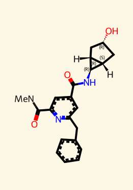 CNC(=O)c1cc(C(=O)N[C@H]2[C@@H]3C[C@H](O)C[C@@H]32)cc(Cc2ccccc2)n1